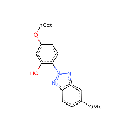 CCCCCCCCOc1ccc(-n2nc3ccc(OC)cc3n2)c(O)c1